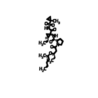 C=CCC[C@@H](C)O[C@@H](CC)CC(=O)N1CCC[C@H]1C(=O)N[C@]1(C(=O)NS(=O)(=O)C2(C)CC2)C[C@H]1C=C